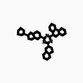 c1ccc(-c2ccc3cc(-c4nc(-c5ccc6ccccc6c5)nc(-c5cc6ccccc6c6ccccc56)n4)ccc3c2)cc1